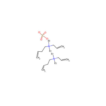 C=CCC[N+](CC)(CC)CC=C.C=CCC[N+](CC)(CC)CC=C.O=S(=O)([O-])[O-]